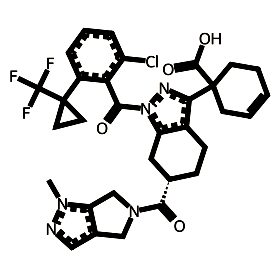 Cn1ncc2c1CN(C(=O)[C@H]1CCc3c(C4(C(=O)O)CC=CCC4)nn(C(=O)c4c(Cl)cccc4C4(C(F)(F)F)CC4)c3C1)C2